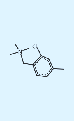 Cc1ccc(C[N+](C)(C)C)c(Cl)c1